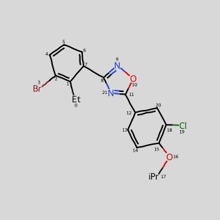 CCc1c(Br)cccc1-c1noc(-c2ccc(OC(C)C)c(Cl)c2)n1